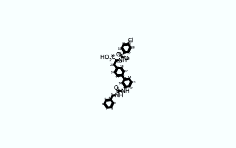 O=C(NCc1ccccc1)Nc1cccc(-c2ccc(C[C@@H](NS(=O)(=O)c3ccc(Cl)cc3)C(=O)O)cc2)c1